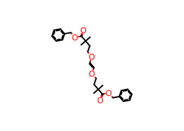 CC(C)(CCOC=COCCC(C)(C)C(=O)OCc1ccccc1)C(=O)OCc1ccccc1